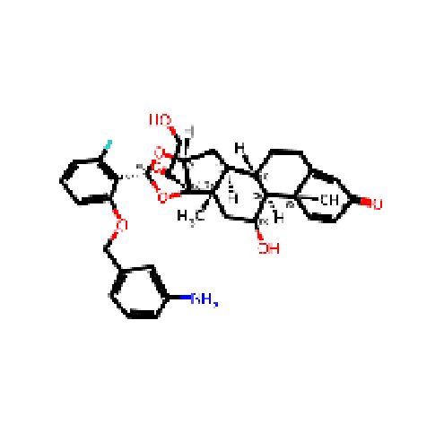 C[C@]12C=CC(=O)C=C1CC[C@@H]1[C@@H]2[C@@H](O)C[C@@]2(C)[C@H]1C[C@H]1O[C@@H](c3c(F)cccc3OCc3cccc(N)c3)O[C@]12C(=O)CO